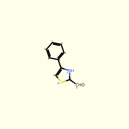 O=CC1NC(c2ccccc2)=CS1